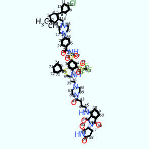 CC1(C)CCC(c2ccc(Cl)cc2)=C(CN2CCN(c3ccc(C(=O)NS(=O)(=O)c4ccc(N[C@H](CCN5CCN(C(=O)CCCNc6cccc7c6C(=O)N(C6CCC(=O)NC6=O)C7=O)CC5)CSc5ccccc5)c(S(=O)(=O)C(F)(F)F)c4)cc3)CC2)C1